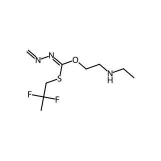 C=N/N=C(/OCCNCC)SCC(C)(F)F